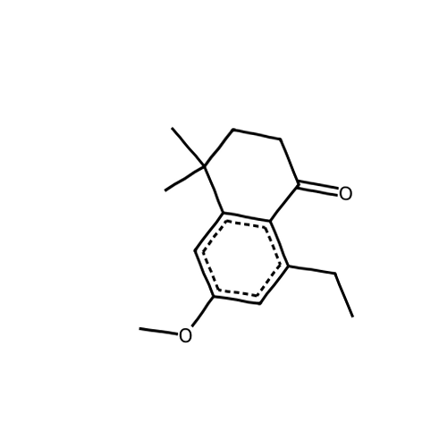 CCc1cc(OC)cc2c1C(=O)CCC2(C)C